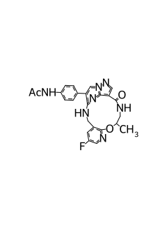 CC(=O)Nc1ccc(-c2cn3ncc4c3nc2NCc2cc(F)cnc2OC(C)CNC4=O)cc1